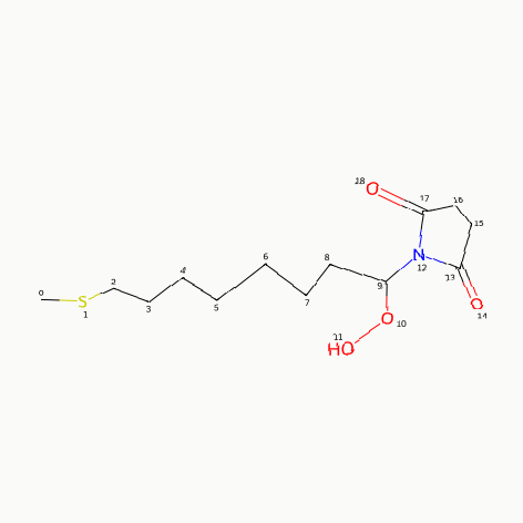 CSCCCCCCCC(OO)N1C(=O)CCC1=O